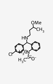 COC(C)CCNC(c1ccc(Cl)cc1)c1ccccc1N(C)[S+](C)[O-]